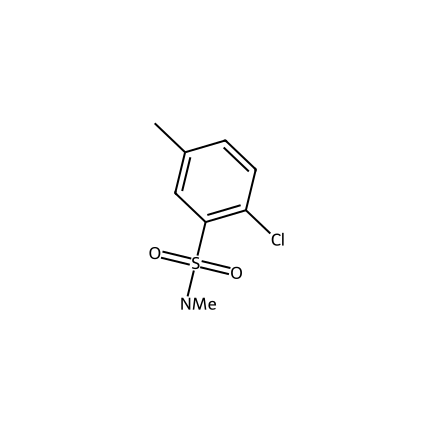 CNS(=O)(=O)c1cc(C)ccc1Cl